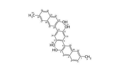 Cc1ccc2cc(O)c(-c3cc(O)c(-c4cc5cc(C)ccc5cc4O)cc3O)cc2c1